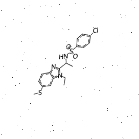 CCn1c(C(C)NS(=O)(=O)c2ccc(Cl)cc2)nc2ccc(SC)cc21